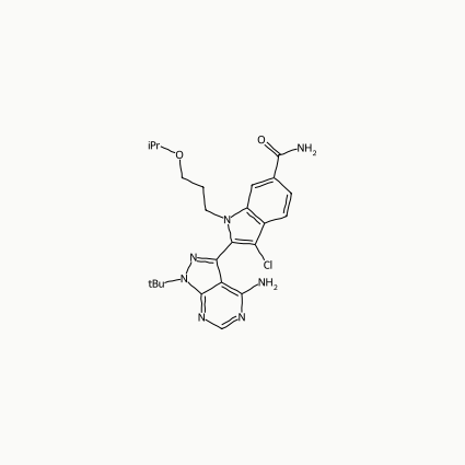 CC(C)OCCCn1c(-c2nn(C(C)(C)C)c3ncnc(N)c23)c(Cl)c2ccc(C(N)=O)cc21